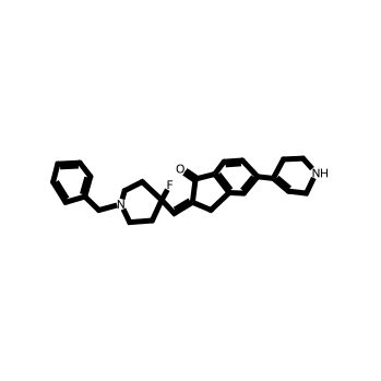 O=C1C(=CC2(F)CCN(Cc3ccccc3)CC2)Cc2cc(C3=CCNCC3)ccc21